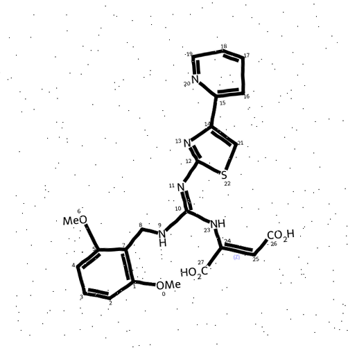 COc1cccc(OC)c1CNC(=Nc1nc(-c2ccccn2)cs1)N/C(=C\C(=O)O)C(=O)O